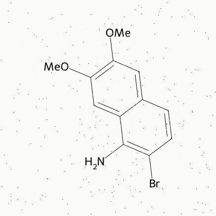 COc1cc2ccc(Br)c(N)c2cc1OC